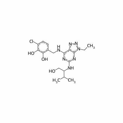 CCn1nnc2c(NCc3ccc(Cl)c(O)c3O)nc(NC(CO)C(C)C)nc21